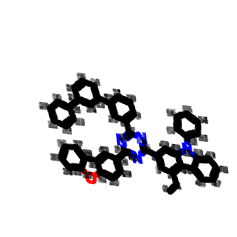 CCc1cc(-c2nc(-c3cccc(-c4cccc(-c5ccccc5)c4)c3)nc(-c3ccc4oc5ccccc5c4c3)n2)cc2c1c1ccccc1n2-c1ccccc1